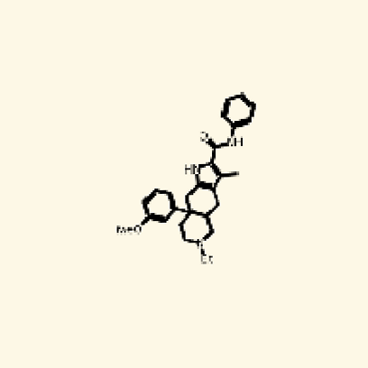 CCN1CCC2(c3cccc(OC)c3)Cc3[nH]c(C(=O)Nc4ccccc4)c(C)c3CC2C1